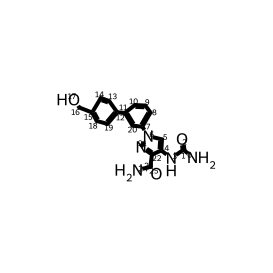 NC(=O)Nc1cn(-c2cccc(-c3ccc(CO)cc3)c2)nc1C(N)=O